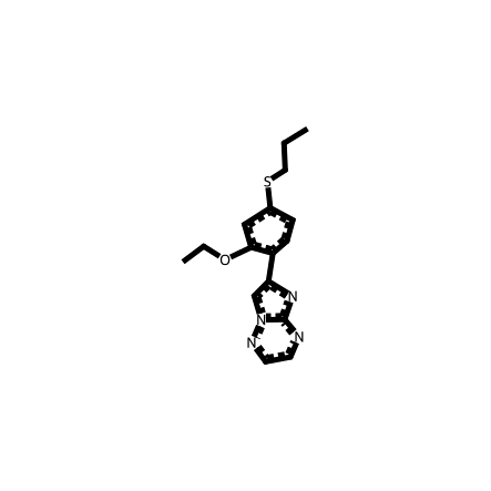 CCCSc1ccc(-c2cn3nccnc3n2)c(OCC)c1